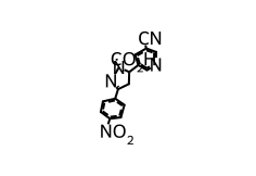 N#Cc1cncc(C2CC(c3ccc([N+](=O)[O-])cc3)=NN2C(=O)O)c1